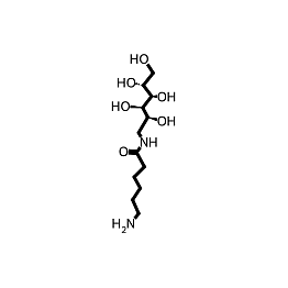 NCCCCCC(=O)NC[C@H](O)[C@@H](O)[C@H](O)[C@H](O)CO